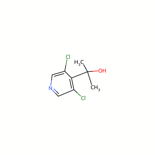 CC(C)(O)c1c(Cl)cncc1Cl